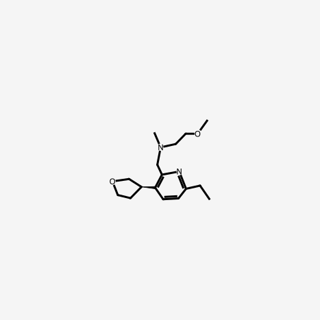 CCc1ccc([C@H]2CCOC2)c(CN(C)CCOC)n1